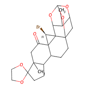 CC1C2CC34CCC5C6CCC7(OCCO7)C6(C)CC(=O)C56[C@@H](Br)C36C1OC(O2)O4